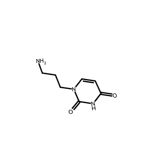 NCCCn1ccc(=O)[nH]c1=O